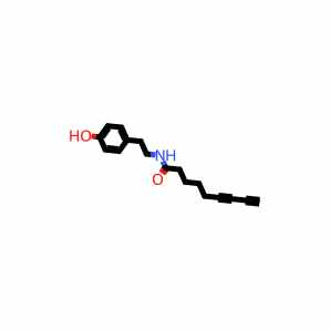 C#CC#CCCCCC(=O)NCCc1ccc(O)cc1